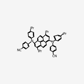 CC(C)c1ccc(N(c2ccc(C#N)cc2)c2cc(C(C)C)c3ccc4c(N(c5ccc(C#N)cc5)c5ccc(C(C)C)cc5)cc(C(C)C)c5ccc2c3c54)cc1